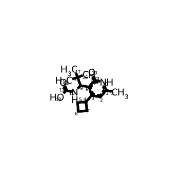 Cc1cc(C2CCC2)c(C(NC(=O)O)C(C)(C)C)c(=O)[nH]1